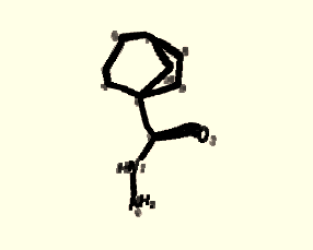 NNC(=O)C12CCC(CC1)C2